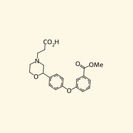 COC(=O)c1cccc(Oc2ccc(C3CN(CCC(=O)O)CCO3)cc2)c1